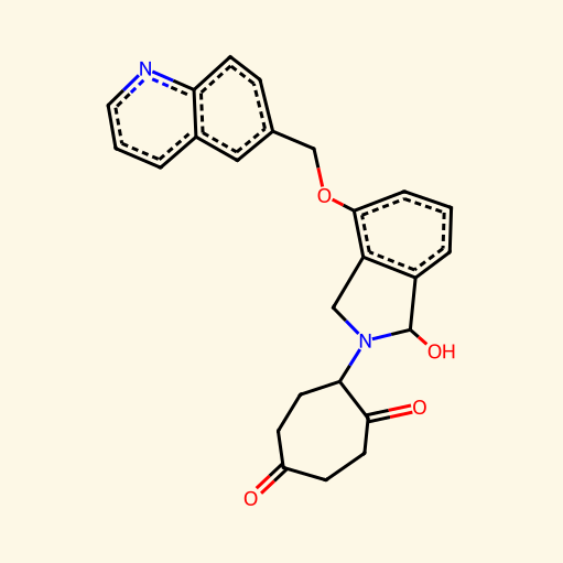 O=C1CCC(=O)C(N2Cc3c(OCc4ccc5ncccc5c4)cccc3C2O)CC1